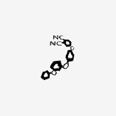 N#Cc1ccc(Oc2ccc(Oc3cccc(Oc4ccccc4)c3)cc2)cc1C#N